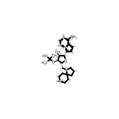 C[C@@H]1[C@H](OC(C)(C)O)[C@@H](CN2CCCC23CCNCC3)O[C@H]1c1ccc2c(N)ncnn12